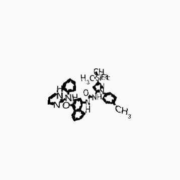 CC[Si](C)(C)c1cc(NC(=O)Nc2ccc(OC3(Nc4ccccc4)N=CC=CN3)c3ccccc23)n(-c2ccc(C)cc2)n1